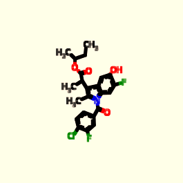 CCC(C)OC(=O)C(C)c1c(C)n(C(=O)c2ccc(Cl)c(F)c2)c2cc(F)c(O)cc12